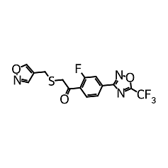 O=C(CSCc1cnoc1)c1ccc(-c2noc(C(F)(F)F)n2)cc1F